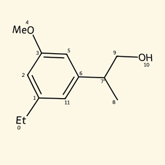 CCc1cc(OC)cc([C](C)CO)c1